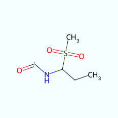 CCC(N[C]=O)S(C)(=O)=O